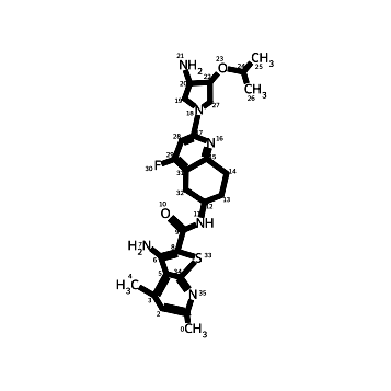 Cc1cc(C)c2c(N)c(C(=O)NC3CCc4nc(N5CC(N)C(OC(C)C)C5)cc(F)c4C3)sc2n1